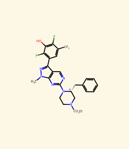 CCOC(=O)N1CCN(c2ncc3c(-c4cc(C(F)(F)F)c(F)c(O)c4F)nn(C)c3n2)[C@H](Cc2ccccc2)C1